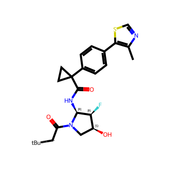 Cc1ncsc1-c1ccc(C2(C(=O)N[C@H]3[C@@H](F)[C@@H](O)CN3C(=O)[CH]C(C)(C)C)CC2)cc1